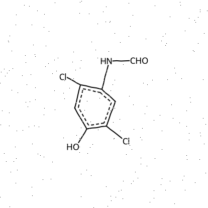 O=CNc1cc(Cl)c(O)cc1Cl